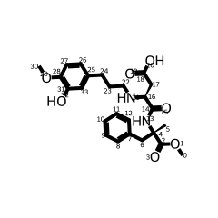 COC(=O)[C@](C)(Cc1ccccc1)NC(=O)[C@H](CC(=O)O)NCCCc1ccc(OC)c(O)c1